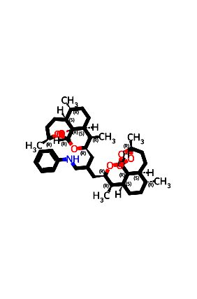 C[C@H]1[C@@H](CC(CNc2ccccc2)C[C@H]2O[C@@H]3O[C@@]4(C)CC[C@H]5[C@H](C)CC[C@@H]([C@H]2C)[C@@]35OO4)O[C@@H]2O[C@@]3(C)CC[C@H]4[C@H](C)CC[C@@H]1[C@@]24OO3